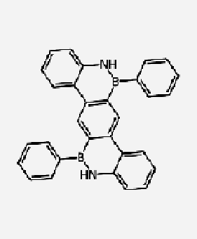 c1ccc(B2Nc3ccccc3-c3cc4c(cc32)-c2ccccc2NB4c2ccccc2)cc1